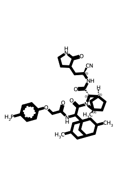 CC1CC2CC(C)CC(C(NC(=O)COc3ccc(P)cc3)C(=O)N3[C@H](C(=O)N[C@H](C#N)CC4CCNC4=O)[C@H]4CC[C@]3(C)C4)(C1)C2